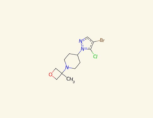 CC1(N2CCC(n3ncc(Br)c3Cl)CC2)COC1